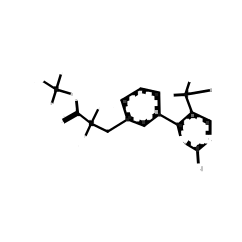 CC(C)(C)OC(=O)C(C)(C)Cc1cccc(-c2nc(N)ncc2C(F)(F)F)c1